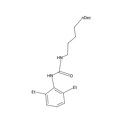 CCCCCCCCCCCCCCNC(=O)Nc1c(CC)cccc1CC